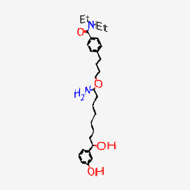 CCN(CC)C(=O)c1ccc(CCCCOC(N)CCCCCCC(O)c2cccc(O)c2)cc1